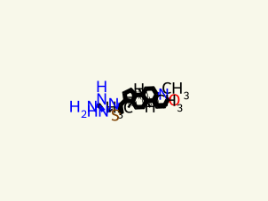 CN1C(=O)C=C[C@@]2(C)C1CC[C@@H]1[C@H]2CC[C@]2(C)C(c3csc(NC(=N)N)n3)CC[C@@H]12